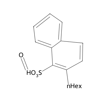 C=O.CCCCCCc1ccc2ccccc2c1S(=O)(=O)O